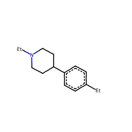 CCc1ccc(C2CCN(CC)CC2)cc1